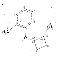 Cc1ccccc1O[C@H]1CC[C@H]1C